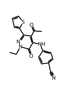 CCn1nc(-c2cccs2)c(C(C)=O)c(Nc2ccc(C#N)cc2)c1=O